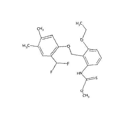 CCOc1cccc(NC(=S)OC)c1COc1cc(C)c(C)cc1C(F)F